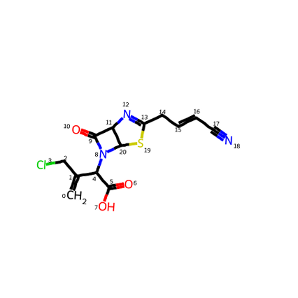 C=C(CCl)C(C(=O)O)N1C(=O)C2N=C(CC=CC#N)SC21